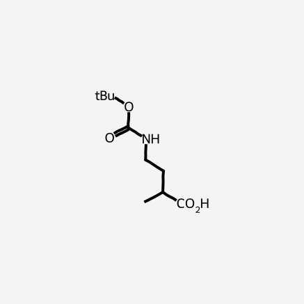 CC(CCNC(=O)OC(C)(C)C)C(=O)O